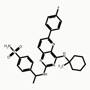 CC(Nc1nc(NC2(C(F)(F)F)CCCCC2)c2nc(-c3ccc(F)cc3)ccc2n1)c1ccc(S(N)(=O)=O)cc1